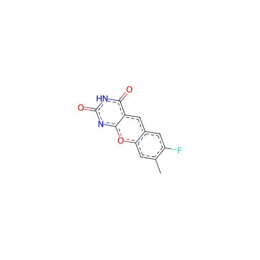 Cc1cc2oc3nc(=O)[nH]c(=O)c-3cc2cc1F